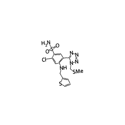 CSCn1nnnc1-c1cc(S(N)(=O)=O)c(Cl)cc1NCc1cccs1